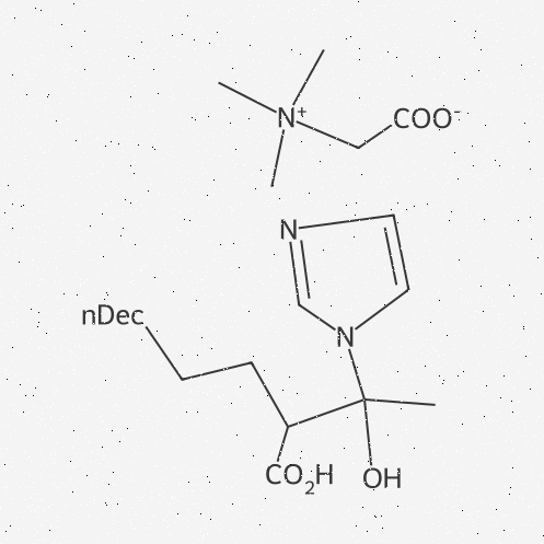 CCCCCCCCCCCCC(C(=O)O)C(C)(O)n1ccnc1.C[N+](C)(C)CC(=O)[O-]